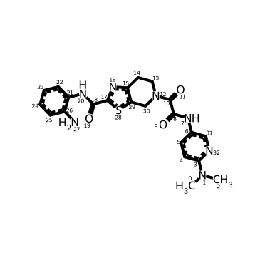 CN(C)c1ccc(NC(=O)C(=O)N2CCc3nc(C(=O)Nc4ccccc4N)sc3C2)cn1